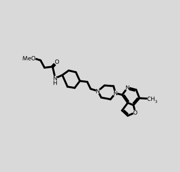 COCCC(=O)NC1CCC(CCN2CCN(c3ncc(C)c4occc34)CC2)CC1